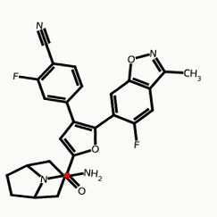 Cc1noc2cc(-c3oc(C(=O)N4C5CCC4CC(N)C5)cc3-c3ccc(C#N)c(F)c3)c(F)cc12